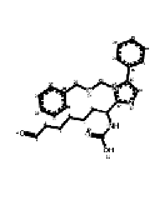 O=CCCCCC[C@H](NC(=O)O)c1ncc(-c2ccccc2)n1COCc1ccccc1